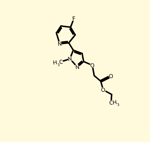 CCOC(=O)COc1cc(-c2cc(F)ccn2)n(C)n1